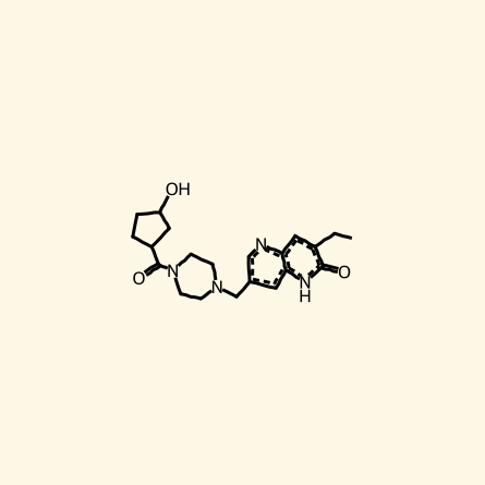 CCc1cc2ncc(CN3CCN(C(=O)C4CCC(O)C4)CC3)cc2[nH]c1=O